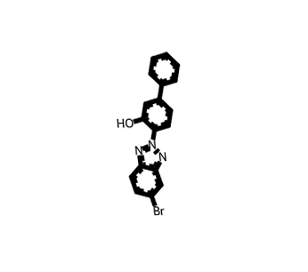 Oc1cc(-c2ccccc2)ccc1-n1nc2ccc(Br)cc2n1